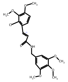 COc1cc(CNC(=S)/C=C/c2ccc(OC)c(OC)c2Cl)cc(OC)c1OC